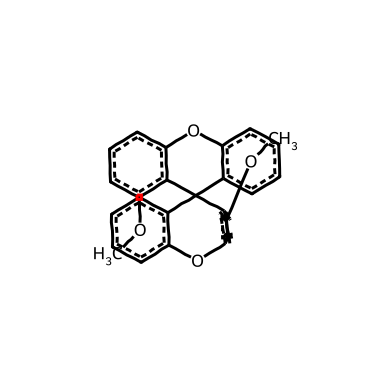 COc1cccc2c1C1(c3ccccc3O2)c2ccccc2Oc2cccc(OC)c21